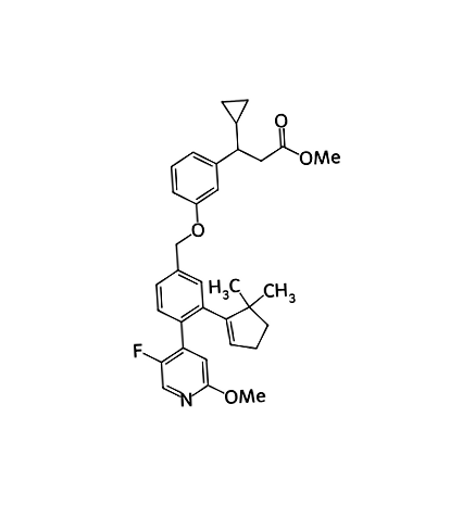 COC(=O)CC(c1cccc(OCc2ccc(-c3cc(OC)ncc3F)c(C3=CCCC3(C)C)c2)c1)C1CC1